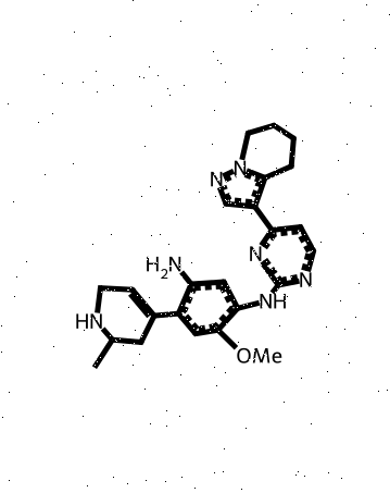 COc1cc(C2=CCNC(C)C2)c(N)cc1Nc1nccc(-c2cnn3c2CCCC3)n1